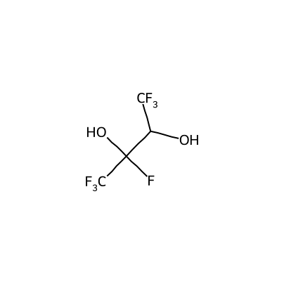 OC(C(F)(F)F)C(O)(F)C(F)(F)F